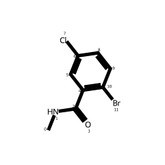 CNC(=O)c1cc(Cl)ccc1Br